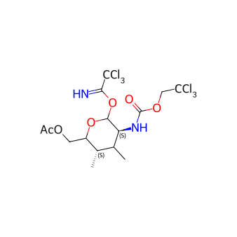 CC(=O)OCC1OC(OC(=N)C(Cl)(Cl)Cl)[C@@H](NC(=O)OCC(Cl)(Cl)Cl)C(C)[C@@H]1C